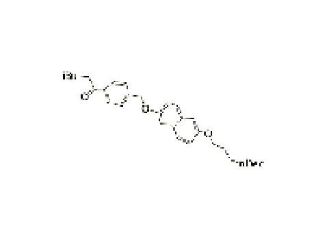 CCCCCCCCCCCCCOc1ccc2cc(OCc3ccc(C(=O)C[C@H](C)CC)cc3)ccc2c1